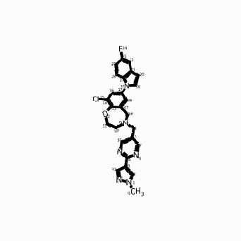 Cn1cc(-c2ncc(CN3CCOc4c(Cl)cc(-n5ccc6cc(F)ccc65)cc4C3)cn2)cn1